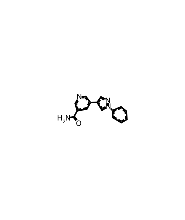 NC(=O)c1cncc(-c2cnn(-c3ccccc3)c2)c1